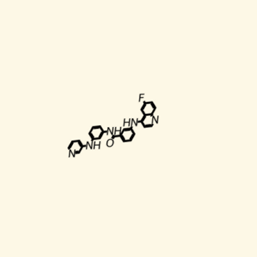 O=C(Nc1cccc(Nc2cccnc2)c1)c1cccc(Nc2ccnc3ccc(F)cc23)c1